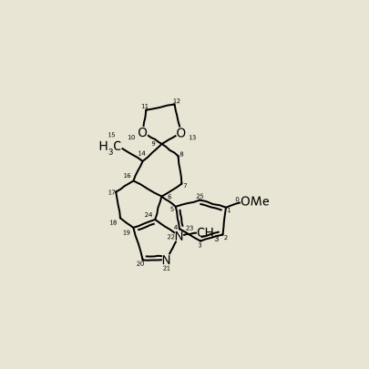 COc1cccc(C23CCC4(OCCO4)C(C)C2CCc2cnn(C)c23)c1